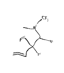 C=CC(F)(F)C(F)N(C)C(F)(F)F